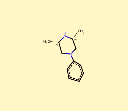 C[C@@H]1CN(c2ccccc2)C[C@H](C)N1